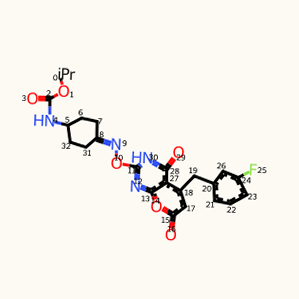 CC(C)OC(=O)NC1CCC(=NOc2nc3oc(=O)cc(Cc4cccc(F)c4)c3c(=O)[nH]2)CC1